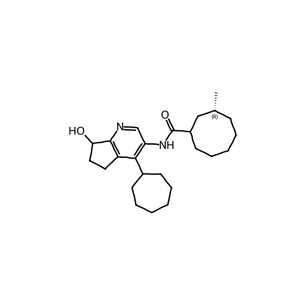 C[C@@H]1CCCCCC(C(=O)Nc2cnc3c(c2C2CCCCCC2)CCC3O)C1